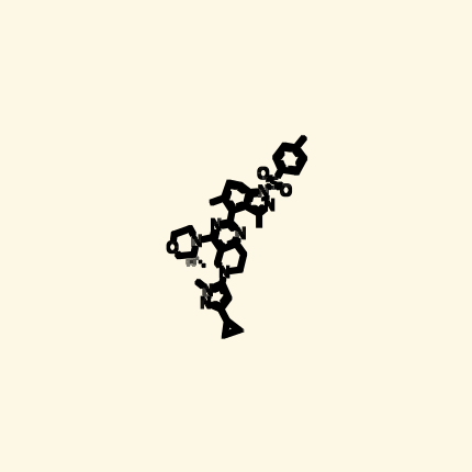 Cc1ccc(S(=O)(=O)n2nc(C)c3c(-c4nc5c(c(N6CCOC[C@H]6C)n4)CN(c4cc(C6CC6)nn4C)CC5)c(C)ccc32)cc1